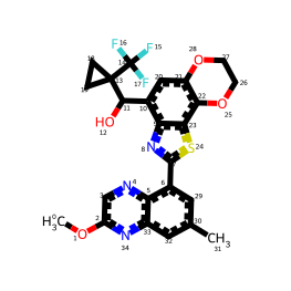 COc1cnc2c(-c3nc4c(C(O)C5(C(F)(F)F)CC5)cc5c(c4s3)OCCO5)cc(C)cc2n1